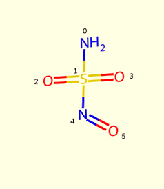 NS(=O)(=O)N=O